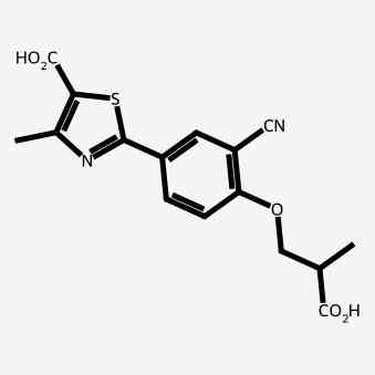 Cc1nc(-c2ccc(OCC(C)C(=O)O)c(C#N)c2)sc1C(=O)O